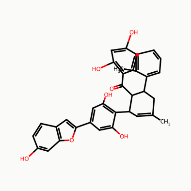 CC1=CC(c2c(O)cc(-c3cc4ccc(O)cc4o3)cc2O)C(C(=O)c2ccc(O)cc2O)C(c2ccccc2C)C1